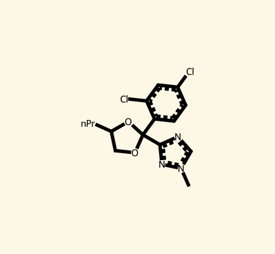 CCCC1COC(c2ncn(C)n2)(c2ccc(Cl)cc2Cl)O1